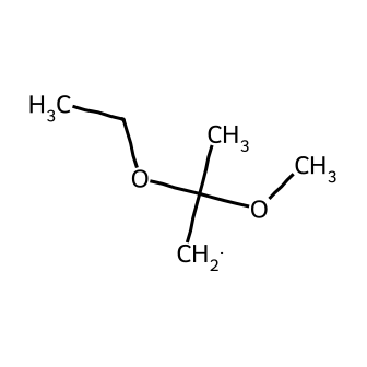 [CH2]C(C)(OC)OCC